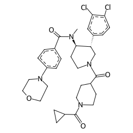 CN(C(=O)c1ccc(N2CCOCC2)cc1)[C@@H]1CCN(C(=O)C2CCN(C(=O)C3CC3)CC2)C[C@H]1c1ccc(Cl)c(Cl)c1